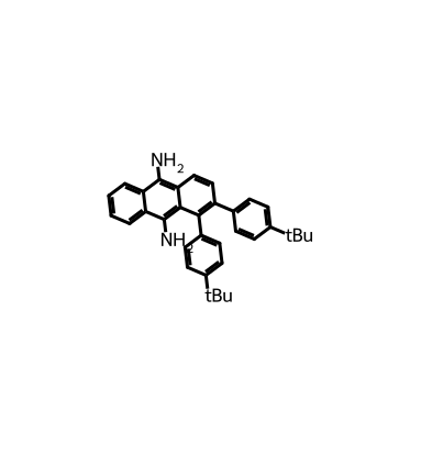 CC(C)(C)c1ccc(-c2ccc3c(N)c4ccccc4c(N)c3c2-c2ccc(C(C)(C)C)cc2)cc1